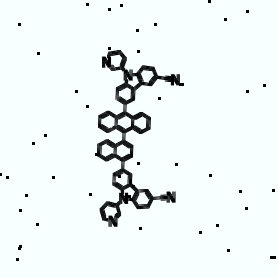 N#Cc1ccc2c(c1)c1cc(-c3ccc(-c4c5ccccc5c(-c5ccc6c(c5)c5cc(C#N)ccc5n6-c5cccnc5)c5ccccc45)c4ccccc34)ccc1n2-c1cccnc1